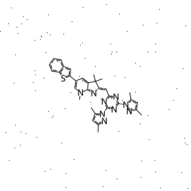 Cc1cc(C)n(-c2nc(/C=C3\N=C4C(=CC(c5cc6ccccc6s5)=CN4C)C3(C)C)nc(-n3nc(C)cc3C)n2)n1